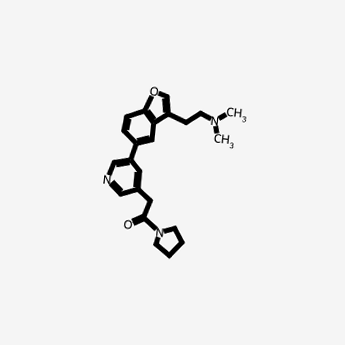 CN(C)CCc1coc2ccc(-c3cncc(CC(=O)N4CCCC4)c3)cc12